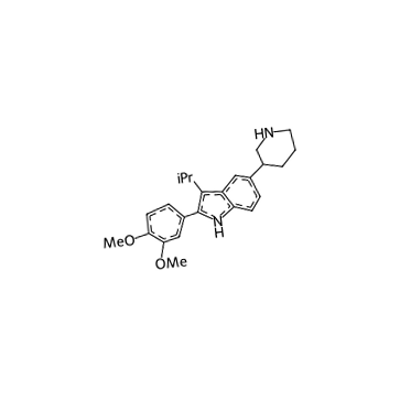 COc1ccc(-c2[nH]c3ccc(C4CCCNC4)cc3c2C(C)C)cc1OC